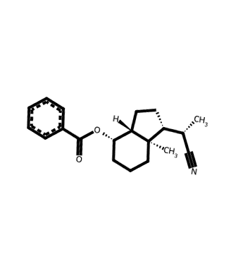 C[C@H](C#N)[C@H]1CC[C@H]2[C@@H](OC(=O)c3ccccc3)CCC[C@]12C